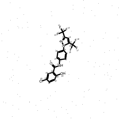 O=C(Nc1ccc(-n2nc(C(F)(F)F)cc2C(F)(F)F)cc1)c1cc(Cl)ccc1O